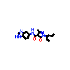 C=C/C=C(\C=C)N1N=C(C)C(C(=O)Nc2ccc3[nH]cnc3c2)C1=O